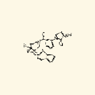 O=C(c1cccc(N2CCNC2=O)c1)N1CCC(F)(F)[C@@H](Oc2ccc3ccccc3n2)C1